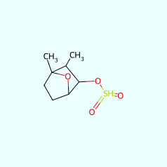 CC1C(O[SH](=O)=O)C2CCC1(C)O2